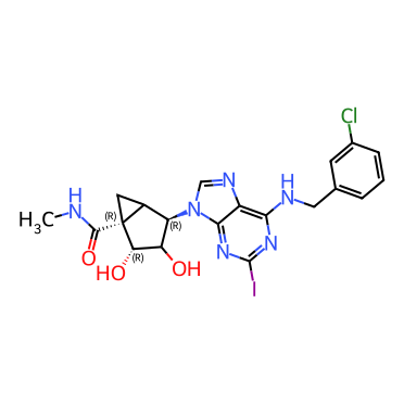 CNC(=O)[C@]12CC1[C@@H](n1cnc3c(NCc4cccc(Cl)c4)nc(I)nc31)C(O)[C@@H]2O